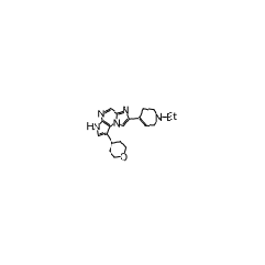 CCN1CCC(c2cn3c(cnc4[nH]cc(C5CCOCC5)c43)n2)CC1